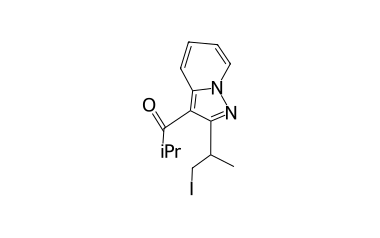 CC(C)C(=O)c1c(C(C)CI)nn2ccccc12